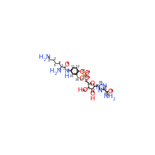 NCCCC[C@H](N)C(=O)Nc1ccc2c(c1)COP(=O)(OC[C@H]1O[C@@H](n3cnc(C(N)=O)n3)[C@H](O)[C@@H]1O)O2